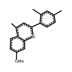 COc1ccc2c(C)cc(-c3ccc(C)cc3C)nc2c1